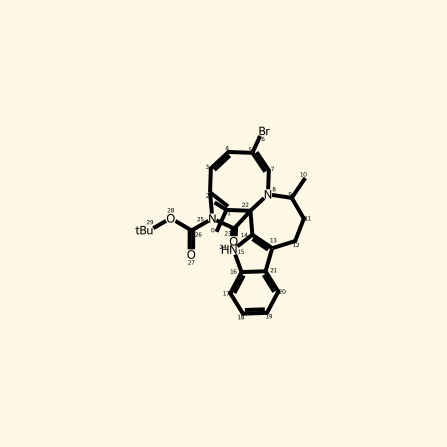 CC1=C2/C=C\C(Br)=CN3C(C)CCc4c([nH]c5ccccc45)C13C(=O)N2C(=O)OC(C)(C)C